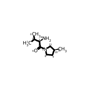 CC(C)[C@@H](N)C(=O)N1CC[C@H](C)C1